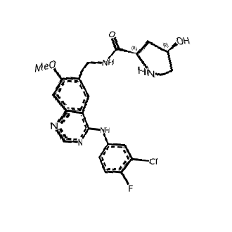 COc1cc2ncnc(Nc3ccc(F)c(Cl)c3)c2cc1CNC(=O)[C@H]1C[C@@H](O)CN1